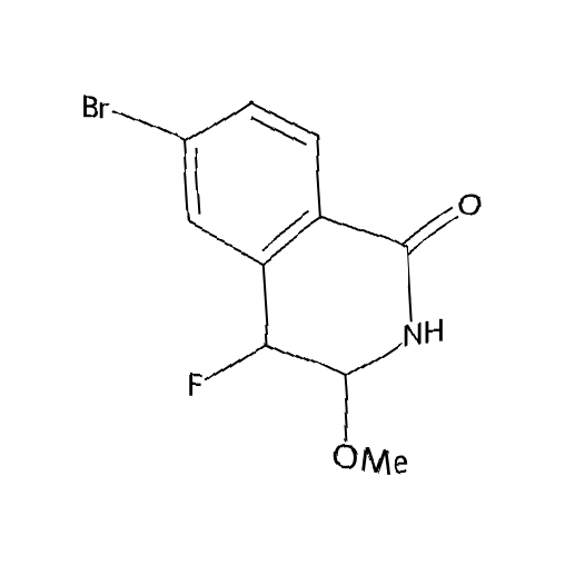 COC1NC(=O)c2ccc(Br)cc2C1F